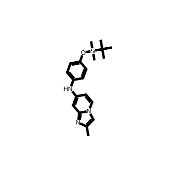 Cc1cn2ccc(Nc3ccc(O[Si](C)(C)C(C)(C)C)cc3)cc2n1